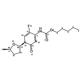 CCCCCOC(=O)Nc1nc(=O)n([C@H]2CC[C@@H](C)O2)cc1F